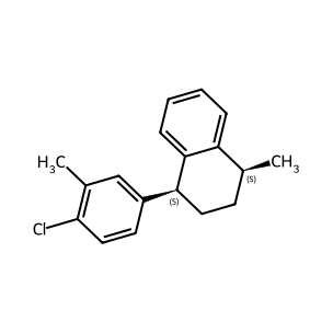 Cc1cc([C@@H]2CC[C@H](C)c3ccccc32)ccc1Cl